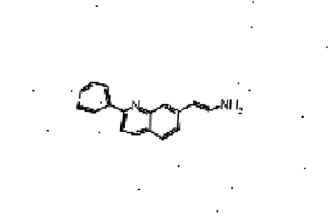 NC=Cc1ccc2ccc(-c3ccccc3)nc2c1